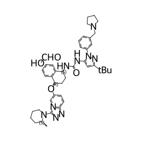 C[C@H]1CCCCN1c1nnc2ccc(O[C@@H]3CC[C@H](NC(=O)Nc4cc(C(C)(C)C)nn4-c4cccc(CN5CCCC5)c4)c4ccccc43)cn12.O=CO